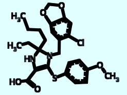 CCCCC1(CC)NC(C(=O)O)=C(Sc2ccc(OC)cc2)N1Cc1cc2c(cc1Cl)OCO2